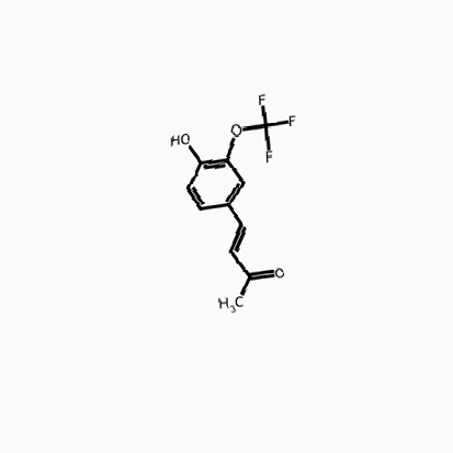 CC(=O)C=Cc1ccc(O)c(OC(F)(F)F)c1